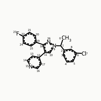 CC(c1cccc(Cl)c1)n1cc(-c2ccncc2)c(-c2ccc(F)cc2)n1